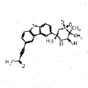 CC(=O)C#Cc1ccc2sc3ccc([C@]4(C)CS(=O)(=O)C(C)(C)C(=N)N4)cc3c2c1